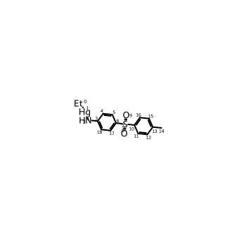 C[CH2][Hg][NH]c1ccc(S(=O)(=O)c2ccc(C)cc2)cc1